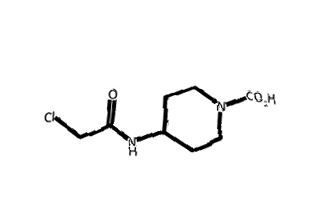 O=C(CCl)NC1CCN(C(=O)O)CC1